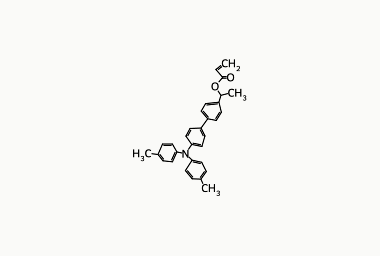 C=CC(=O)OC(C)c1ccc(-c2ccc(N(c3ccc(C)cc3)c3ccc(C)cc3)cc2)cc1